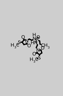 CCCP(=O)(NCCN1C(=O)CC(SC)C1=O)NCCN1C(=O)CC(SC)C1=O